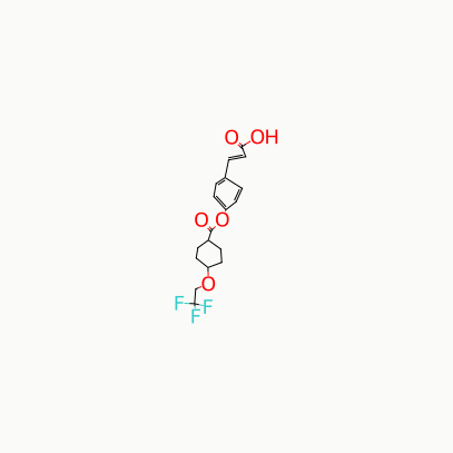 O=C(O)C=Cc1ccc(OC(=O)C2CCC(OCC(F)(F)F)CC2)cc1